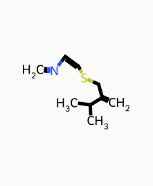 C=N/C=C\SCC(=C)C(C)C